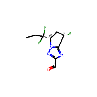 CCC(F)(F)[C@@H]1C[C@H](F)c2nc(C=O)nn21